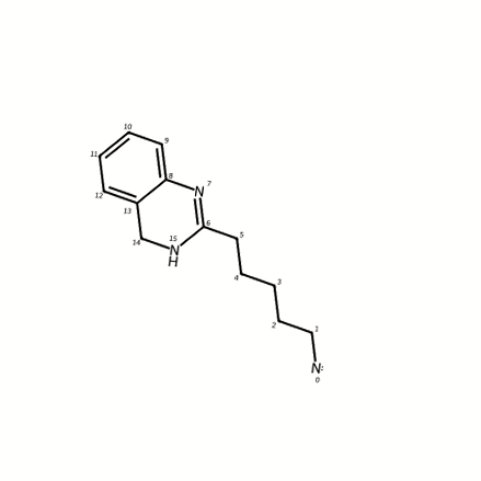 [N]CCCCCC1=Nc2ccccc2CN1